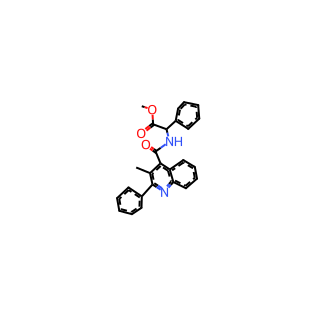 COC(=O)C(NC(=O)c1c(C)c(-c2ccccc2)nc2ccccc12)c1ccccc1